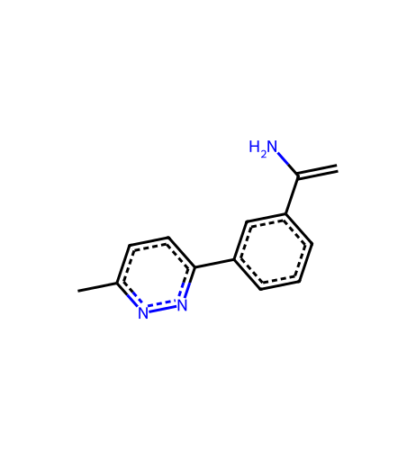 C=C(N)c1cccc(-c2ccc(C)nn2)c1